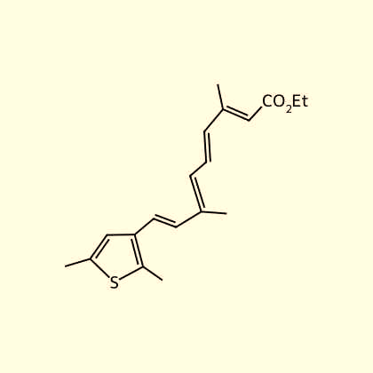 CCOC(=O)C=C(C)C=CC=C(C)C=Cc1cc(C)sc1C